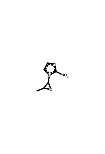 CC1OC1n1ccnc1[N+](=O)[O-]